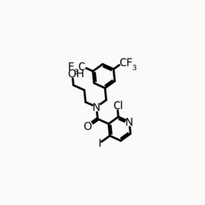 O=C(c1c(I)ccnc1Cl)N(CCCO)Cc1cc(C(F)(F)F)cc(C(F)(F)F)c1